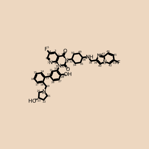 O=c1c2cc(F)cnc2n(-c2cc(-c3ccccc3CN3CC[C@H](O)C3)ccc2O)c(=O)n1C1CCC(NCc2cn3cc(F)ccc3n2)CC1